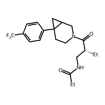 CCC(=O)NC[C@@H](CC)C(=O)N1CCC2(c3ccc(C(F)(F)F)cc3)CC2C1